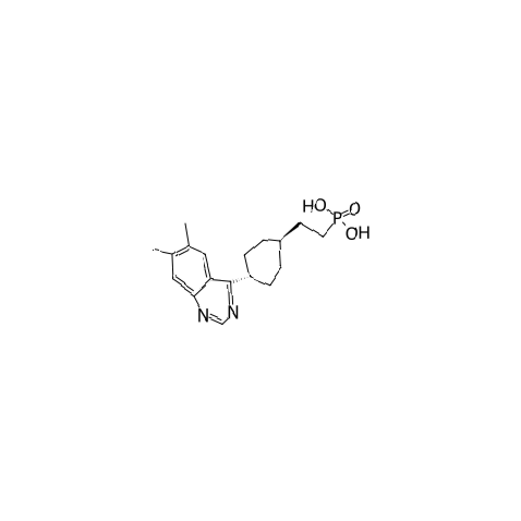 Cc1cc2ncnc([C@H]3CC[C@H](CCP(=O)(O)O)CC3)c2cc1C